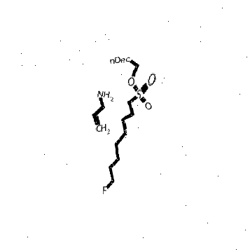 C=CCN.CCCCCCCCCCCOS(=O)(=O)CCCCCCCCF